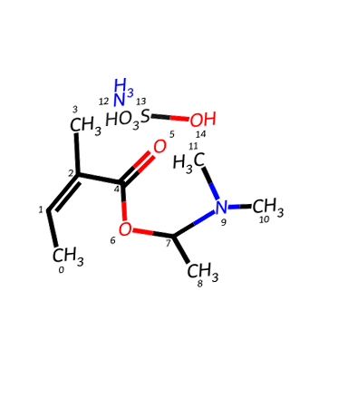 CC=C(C)C(=O)OC(C)N(C)C.N.O=S(=O)(O)O